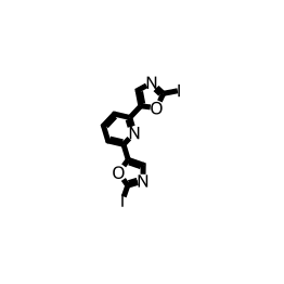 Ic1ncc(-c2cccc(-c3cnc(I)o3)n2)o1